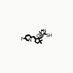 CC1(C)CC/C(=C\c2ccc(F)cn2)C1(O)Cn1ncnc1S